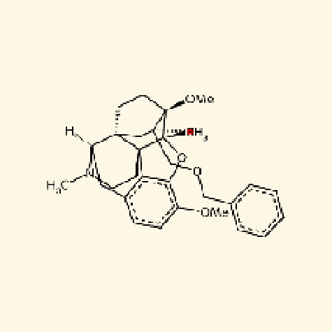 COc1ccc2c3c1O[C@H]1[C@@]4(OC)CC[C@@]5(C[C@]4(C)COCc4ccccc4)[C@@H](C2)N(C)CC[C@]315